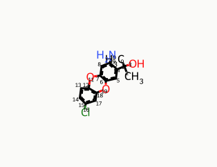 CC(C)(O)c1cc2c(cc1N)Oc1ccc(Cl)cc1O2